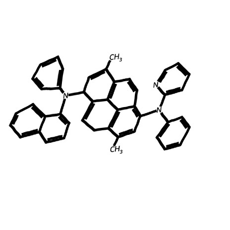 CC1=CC(N(c2ccccc2)c2cccc3ccccc23)C2=CCc3c(C)cc(N(c4ccccc4)c4ccccn4)c4ccc1c2c34